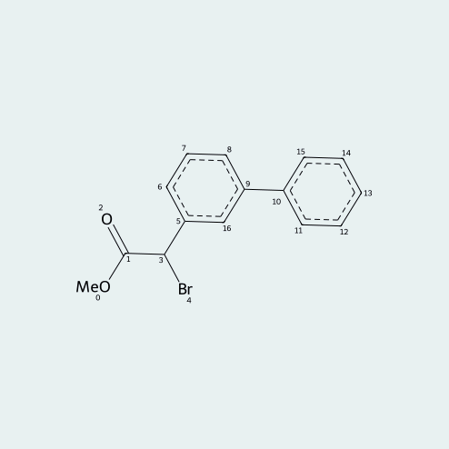 COC(=O)C(Br)c1cccc(-c2ccccc2)c1